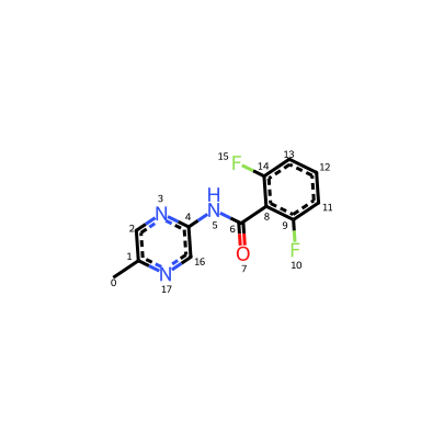 Cc1cnc(NC(=O)c2c(F)cccc2F)cn1